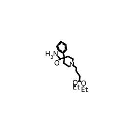 CCOC(CCCN1CCC(C(N)=O)(c2ccccc2)CC1)OCC